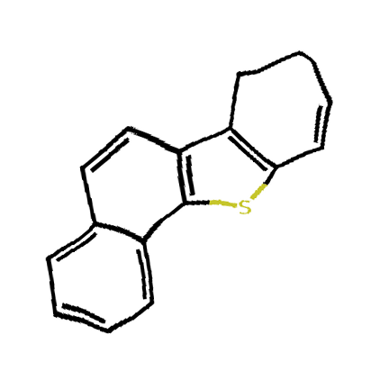 C1=Cc2sc3c(ccc4ccccc43)c2CC1